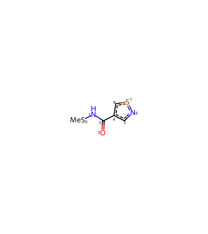 CSNC(=O)c1cnsc1